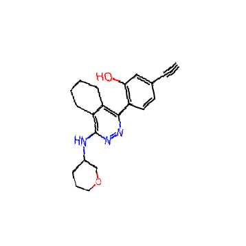 C#Cc1ccc(-c2nnc(NC3CCCOC3)c3c2CCCC3)c(O)c1